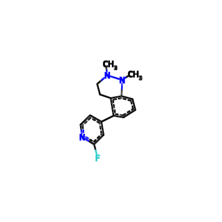 CN1CCc2c(-c3ccnc(F)c3)cccc2N1C